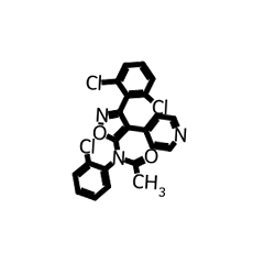 CC(=O)N(c1ccccc1Cl)c1onc(-c2c(Cl)cccc2Cl)c1-c1ccncc1